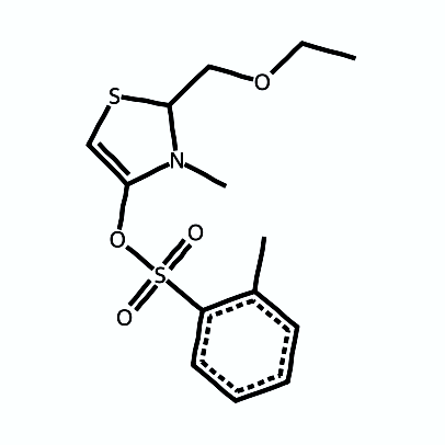 CCOCC1SC=C(OS(=O)(=O)c2ccccc2C)N1C